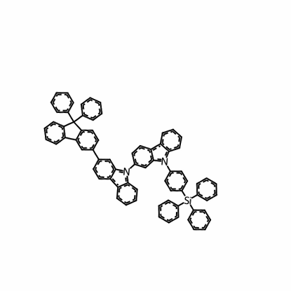 c1ccc(C2(c3ccccc3)c3ccccc3-c3cc(-c4ccc5c6ccccc6n(-c6ccc7c8ccccc8n(-c8ccc([Si](c9ccccc9)(c9ccccc9)c9ccccc9)cc8)c7c6)c5c4)ccc32)cc1